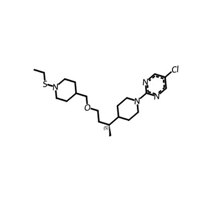 CCSN1CCC(COCC[C@H](C)C2CCN(c3ncc(Cl)cn3)CC2)CC1